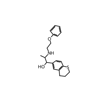 CC(NCCOc1ccccc1)C(O)c1ccc2c(c1)CCCS2